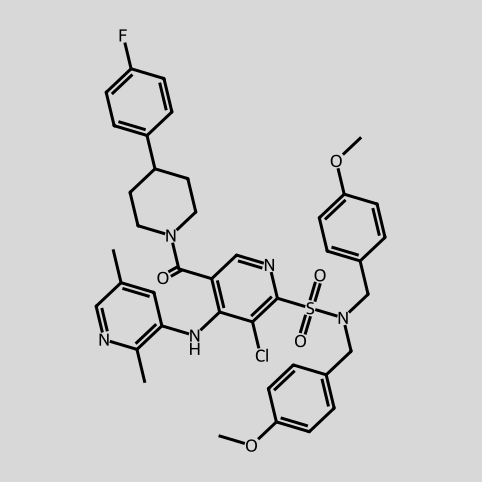 COc1ccc(CN(Cc2ccc(OC)cc2)S(=O)(=O)c2ncc(C(=O)N3CCC(c4ccc(F)cc4)CC3)c(Nc3cc(C)cnc3C)c2Cl)cc1